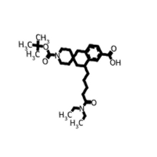 CCN(CC)C(=O)CCCCC1CC2(CCN(C(=O)OC(C)(C)C)CC2)Cc2ccc(C(=O)O)cc21